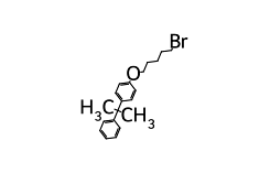 CC(C)(c1ccccc1)c1ccc(OCCCCCBr)cc1